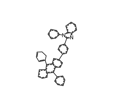 C1=CCCC(c2c3ccccc3c(-c3ccccc3)c3ccc(-c4ccc(-c5nc6ccccc6n5-c5ccccc5)cc4)cc23)=C1